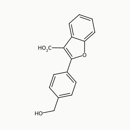 O=C(O)c1c(-c2ccc(CO)cc2)oc2ccccc12